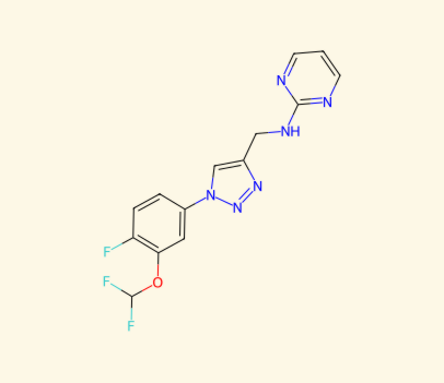 Fc1ccc(-n2cc(CNc3ncccn3)nn2)cc1OC(F)F